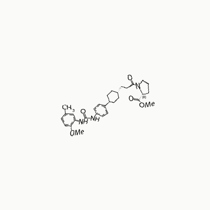 COC(=O)[C@H]1CCCN1C(=O)CC[C@H]1CC[C@H](c2ccc(NC(=O)Nc3cc(C)ccc3OC)cc2)CC1